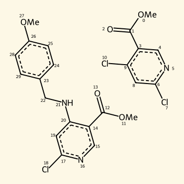 COC(=O)c1cnc(Cl)cc1Cl.COC(=O)c1cnc(Cl)cc1NCc1ccc(OC)cc1